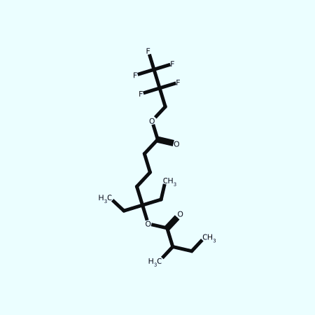 CCC(C)C(=O)OC(CC)(CC)CCCC(=O)OCC(F)(F)C(F)(F)F